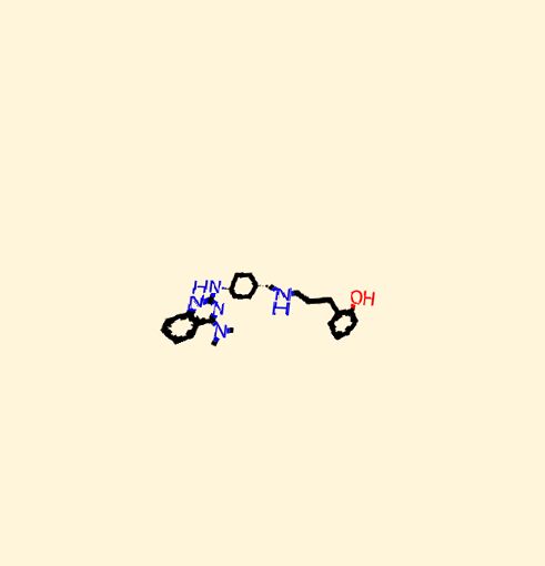 CN(C)c1nc(N[C@H]2CC[C@@H](CNCCCc3ccccc3O)CC2)nc2ccccc12